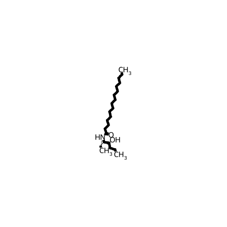 CCCCCCCCCCCCCCCC(=O)N[C@@H](CC)[C@H](O)CCC